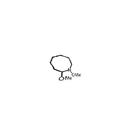 COC1CCCCCCN1OC